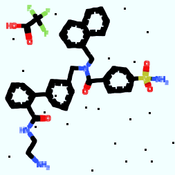 NCCNC(=O)c1ccccc1-c1cccc(CN(Cc2cccc3ccccc23)C(=O)c2ccc(S(N)(=O)=O)cc2)c1.O=C(O)C(F)(F)F